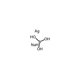 OB(O)O.[Ag].[NaH]